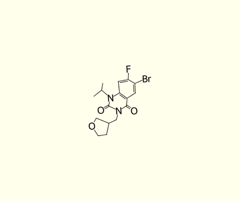 CC(C)n1c(=O)n(CC2CCOC2)c(=O)c2cc(Br)c(F)cc21